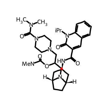 CNC(=O)OC(CN1CCN(C(=O)N(C)C)CC1)CN1[C@@H]2CC[C@H]1C[C@H](NC(=O)c1cc3ccccc3n(C(C)C)c1=O)C2